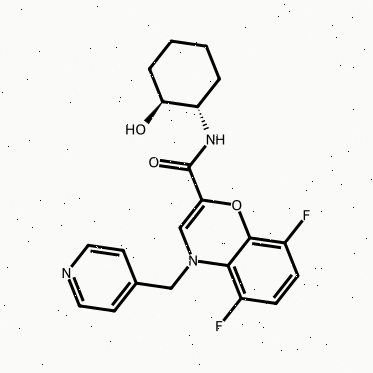 O=C(N[C@H]1CCCC[C@@H]1O)C1=CN(Cc2ccncc2)c2c(F)ccc(F)c2O1